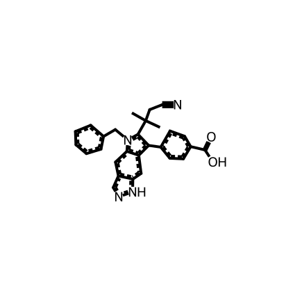 CC(C)(CC#N)c1c(-c2ccc(C(=O)O)cc2)c2cc3[nH]ncc3cc2n1Cc1ccccc1